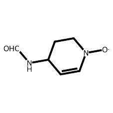 [O]N1C=CC(NC=O)CC1